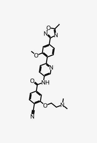 COc1cc(-c2noc(C)n2)ccc1-c1ccc(NC(=O)c2ccc(C#N)c(OCCN(C)C)c2)cn1